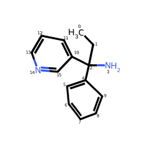 CCC(N)(c1ccccc1)c1cccnc1